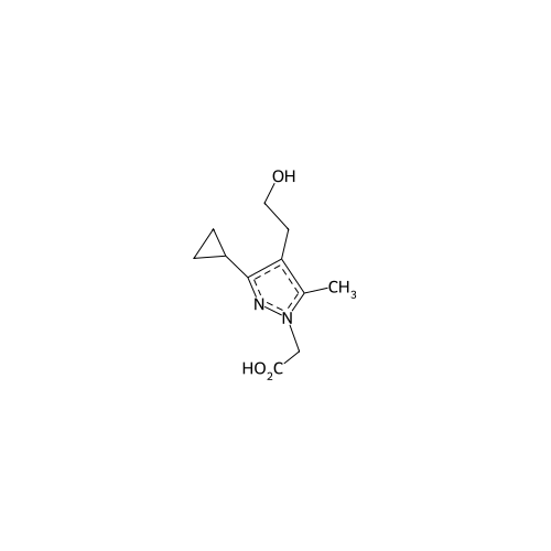 Cc1c(CCO)c(C2CC2)nn1CC(=O)O